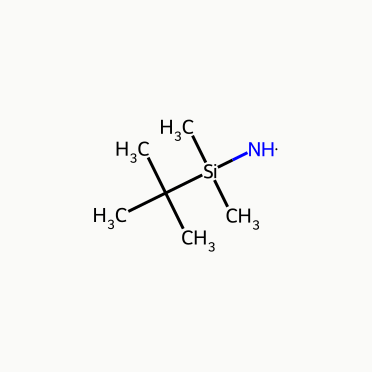 CC(C)(C)[Si](C)(C)[NH]